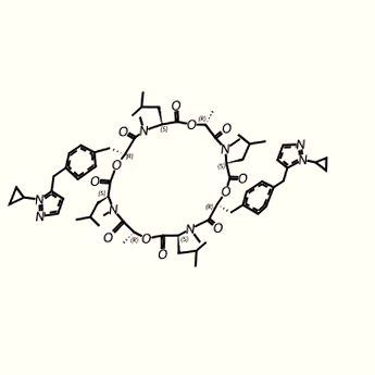 CC(C)C[C@H]1C(=O)O[C@H](Cc2ccc(Cc3ccnn3C3CC3)cc2)C(=O)N(C)[C@@H](CC(C)C)C(=O)O[C@H](C)C(=O)N(C)[C@@H](CC(C)C)C(=O)O[C@H](Cc2ccc(Cc3ccnn3C3CC3)cc2)C(=O)N(C)[C@@H](CC(C)C)C(=O)O[C@H](C)C(=O)N1C